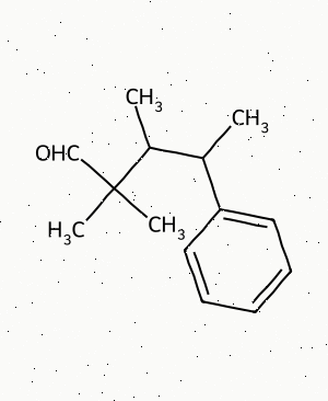 CC(c1ccccc1)C(C)C(C)(C)C=O